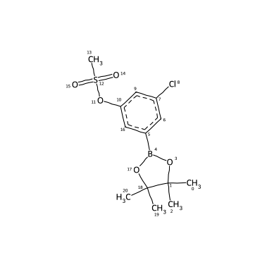 CC1(C)OB(c2cc(Cl)cc(OS(C)(=O)=O)c2)OC1(C)C